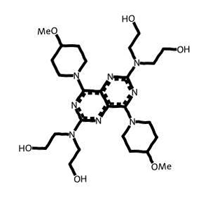 COC1CCN(c2nc(N(CCO)CCO)nc3c(N4CCC(OC)CC4)nc(N(CCO)CCO)nc23)CC1